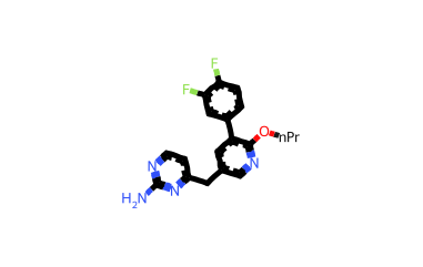 CCCOc1ncc(Cc2ccnc(N)n2)cc1-c1ccc(F)c(F)c1